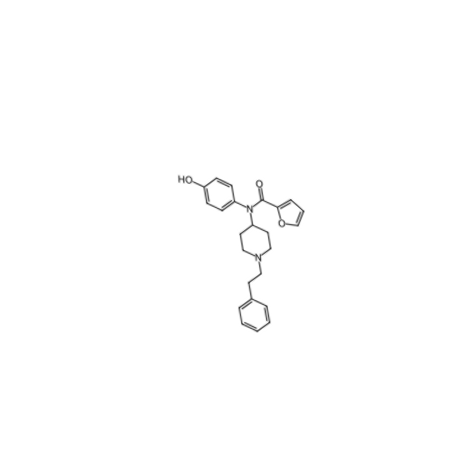 O=C(c1ccco1)N(c1ccc(O)cc1)C1CCN(CCc2ccccc2)CC1